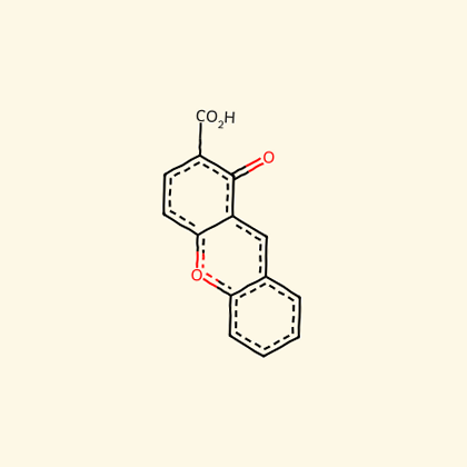 O=C(O)c1ccc2oc3ccccc3cc-2c1=O